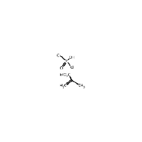 C=C(C)C(=O)OCC.O=P(O)(Cl)Cl